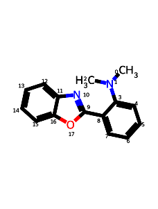 CN(C)c1ccccc1-c1nc2ccccc2o1